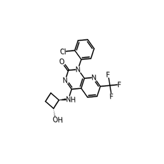 O=c1nc(N[C@@H]2CC[C@H]2O)c2ccc(C(F)(F)F)nc2n1-c1ccccc1Cl